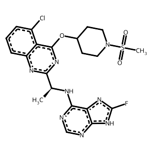 C[C@H](Nc1ncnc2[nH]c(F)nc12)c1nc(OC2CCN(S(C)(=O)=O)CC2)c2c(Cl)cccc2n1